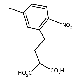 Cc1ccc([N+](=O)[O-])c(CCC(C(=O)O)C(=O)O)c1